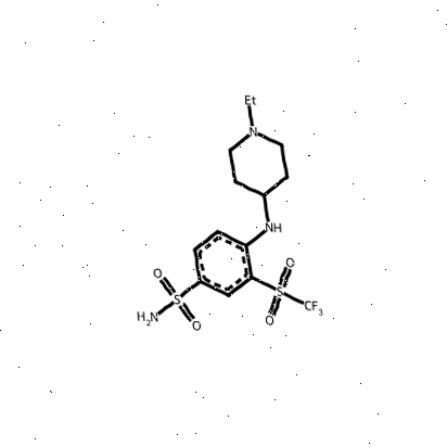 CCN1CCC(Nc2ccc(S(N)(=O)=O)cc2S(=O)(=O)C(F)(F)F)CC1